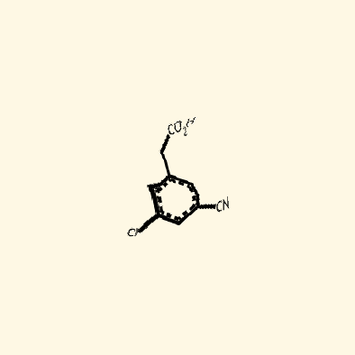 N#Cc1cc(Cl)cc(CC(=O)O)c1